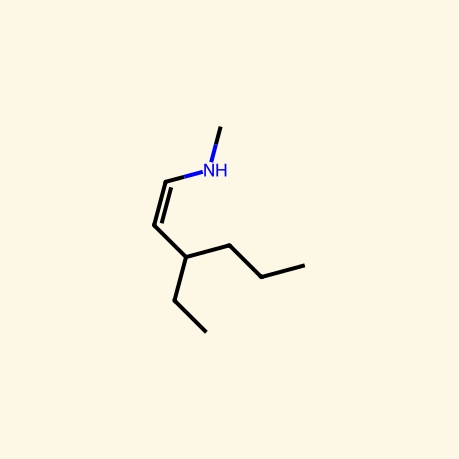 CCCC(/C=C\NC)CC